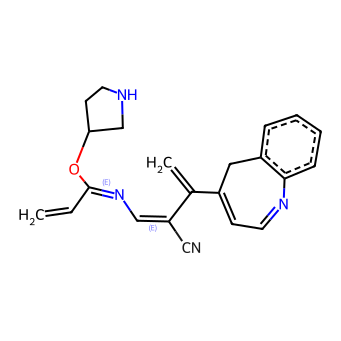 C=C/C(=N\C=C(\C#N)C(=C)C1=CC=Nc2ccccc2C1)OC1CCNC1